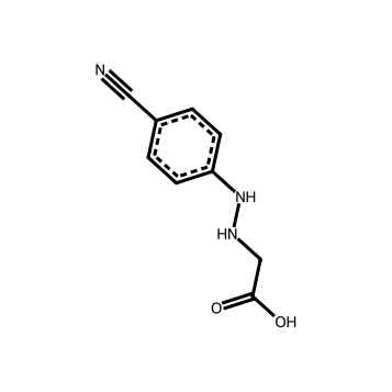 N#Cc1ccc(NNCC(=O)O)cc1